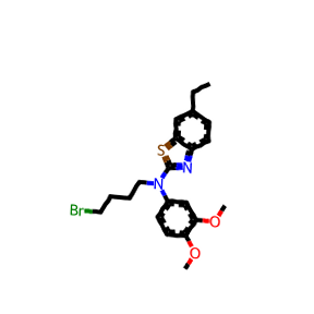 CCc1ccc2nc(N(CCCCBr)c3ccc(OC)c(OC)c3)sc2c1